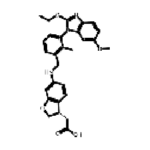 CCOc1nc2ccc(OC)cc2n1-c1cccc(CNc2ccc3c(c2)OC[C@H]3CC(=O)O)c1C